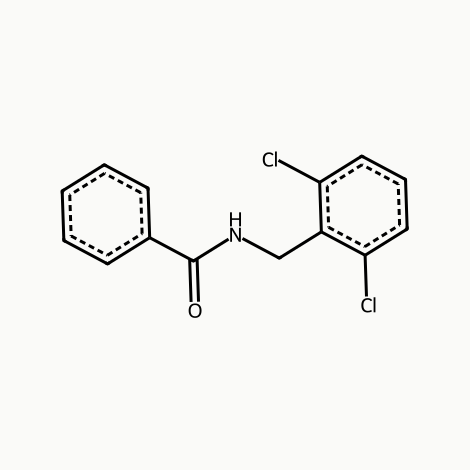 O=C(NCc1c(Cl)cccc1Cl)c1ccccc1